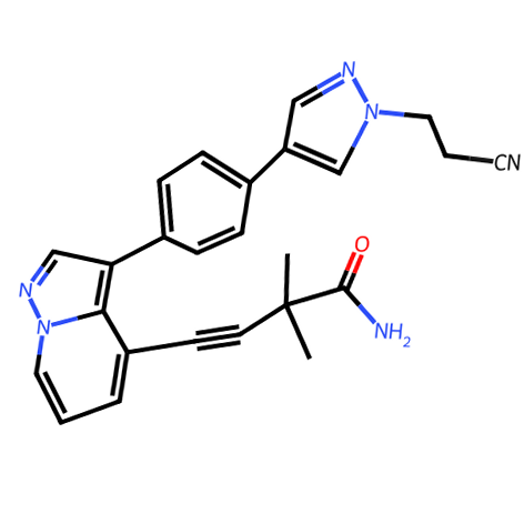 CC(C)(C#Cc1cccn2ncc(-c3ccc(-c4cnn(CCC#N)c4)cc3)c12)C(N)=O